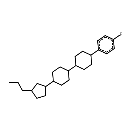 CCCC1CCC(C2CCC(C3CCC(c4ccc(F)cc4)CC3)CC2)C1